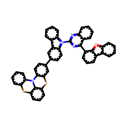 c1ccc2c(c1)Sc1cccc3c1N2c1ccc(-c2ccc4c(c2)c2ccccc2n4-c2nc(-c4cccc5c4oc4ccccc45)c4ccccc4n2)cc1S3